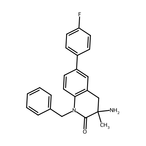 CC1(N)Cc2cc(-c3ccc(F)cc3)ccc2N(Cc2ccccc2)C1=O